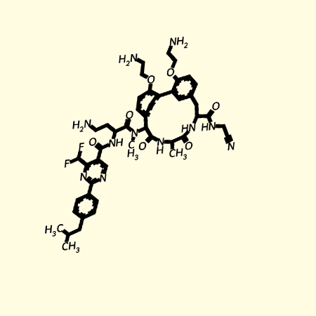 CC(C)Cc1ccc(-c2ncc(C(=O)NC(CCN)C(=O)N(C)C3C(=O)NC(C)C(=O)NC(C(=O)NCC#N)Cc4ccc(OCCN)c(c4)-c4cc3ccc4OCCN)c(C(F)F)n2)cc1